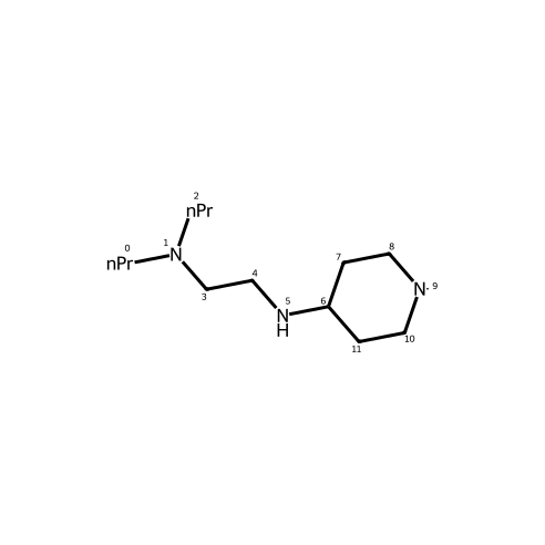 CCCN(CCC)CCNC1CC[N]CC1